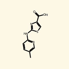 Cc1ccc(Nc2nc(C(=O)O)cs2)nc1